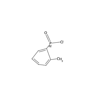 Cc1ccccc1[PH](=O)Cl